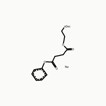 CCCCCCCCCCCCOC(=O)CCC(=O)Oc1ccccc1.[Na]